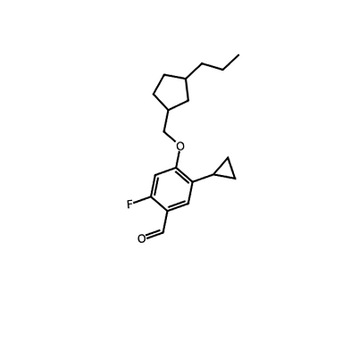 CCCC1CCC(COc2cc(F)c(C=O)cc2C2CC2)C1